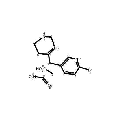 Brc1ccc(CC2=NCNCC2)cn1.CC(=O)O.O=[N+]([O-])[CH]=[Cu]